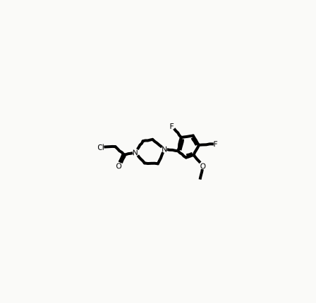 COc1cc(N2CCN(C(=O)CCl)CC2)c(F)cc1F